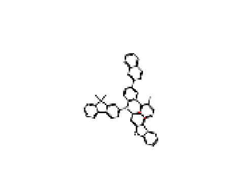 Cc1ccccc1-c1cc(-c2ccc3ccccc3c2)ccc1N(c1ccc2c(c1)C(C)(C)c1ccccc1-2)c1ccc2c(c1)oc1ccccc12